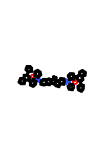 CC1(C)c2cc3cc(N(c4ccccc4)c4cccc5c4oc4c(-c6ccccc6)cc6ccccc6c45)ccc3cc2-c2ccc3cc(N(c4ccccc4)c4cccc5c4oc4c(-c6ccccc6)cc6ccccc6c45)ccc3c21